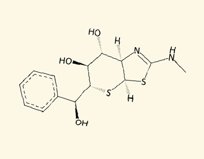 CNC1=N[C@H]2[C@@H](S1)S[C@H]([C@@H](O)c1ccccc1)[C@@H](O)[C@@H]2O